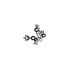 CC(=O)c1nn(CC(=O)N2C3CC[C@@H](C3)[C@H]2C(=O)Nc2nc(Br)ccc2C)c2ccc(-c3cnc(C)nc3)cc12